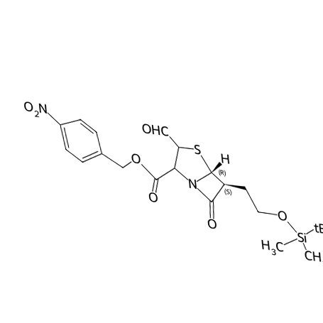 CC(C)(C)[Si](C)(C)OCC[C@H]1C(=O)N2C(C(=O)OCc3ccc([N+](=O)[O-])cc3)C(C=O)S[C@H]12